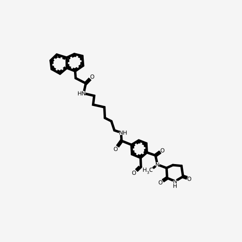 CN(C(=O)c1ccc(C(=O)NCCCCCCNC(=O)Cc2cccc3ccccc23)cc1C=O)C1CCC(=O)NC1=O